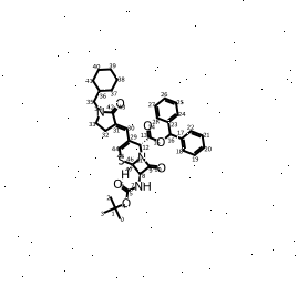 CC(C)(C)OC(=O)N[C@@H]1C(=O)N2[C@@H](C(=O)OC(c3ccccc3)c3ccccc3)C(/C=C3\CCN(CC4CCCCC4)C3=O)=CS[C@H]12